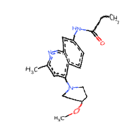 CCC(=O)Nc1ccc2c(N3CCC(OC)C3)cc(C)nc2c1